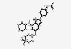 CC(=O)Nc1ccc(-c2cc3cc(CN4CCS(=O)(=O)CC4)cc(NC4CCOCC4)c3[nH]2)cc1